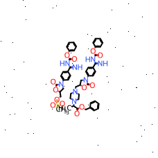 CC(C(=O)OCc1ccccc1)N1CCN(CC2CN(c3ccc(C(=N)NC(=O)Oc4ccccc4)cc3)C(=O)O2)CC1.CS(=O)(=O)OCC1CN(c2ccc(C(=N)NC(=O)Oc3ccccc3)cc2)C(=O)O1